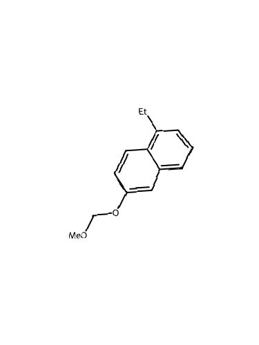 CCc1cccc2cc(OCOC)ccc12